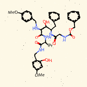 COc1ccc(CNC(C(=O)NC(C(=O)NCc2ccc(OC)cc2O)C(C)C)C(O)C(Cc2ccccc2)NC(=O)CNC(=O)OCc2ccccc2)cc1